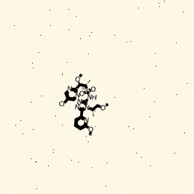 COC[C@H](C)n1c(NS(=O)(=O)[C@@H](C)[C@H](OC)c2ncc(Cl)cn2)nnc1-c1cccc(OC)n1